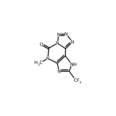 Cn1c(=O)n2nnnc2c2[nH]c(C(F)(F)F)nc21